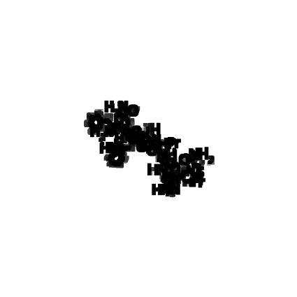 CC(C)C[C@@H](CN1CSC[C@H]1C(N)=O)NC(=O)[C@H](Cc1cnc[nH]1)NC(=O)CNC(=O)[C@@H](NC(=O)[C@H](C)NC(=O)[C@H](Cc1c[nH]c2ccccc12)NC(=O)[C@H](CCC(N)=O)NC(=O)[C@H](N)Cc1ccccc1)C(C)C